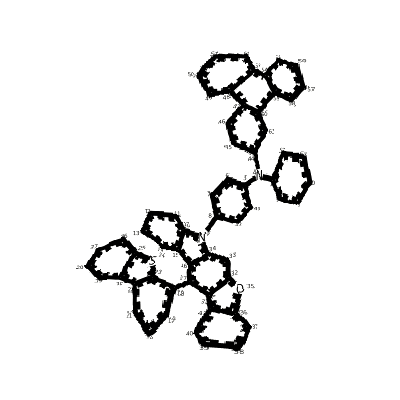 c1ccc(N(c2ccc(-n3c4ccccc4c4c(-c5cccc6c5sc5ccccc56)c5c(cc43)oc3ccccc35)cc2)c2ccc3c4ccccc4c4ccccc4c3c2)cc1